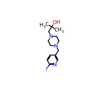 CC(C)(O)CN1CCN(Cc2ccc(I)nc2)CC1